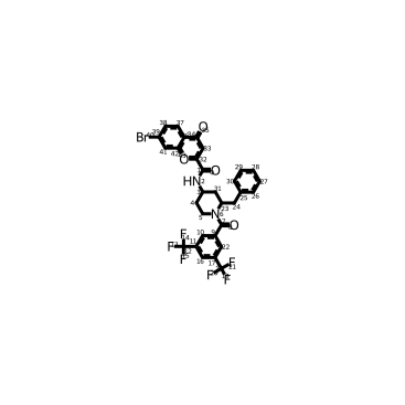 O=C(NC1CCN(C(=O)c2cc(C(F)(F)F)cc(C(F)(F)F)c2)C(Cc2ccccc2)C1)c1cc(=O)c2ccc(Br)cc2o1